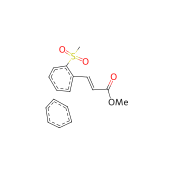 COC(=O)C=Cc1ccccc1S(C)(=O)=O.c1ccccc1